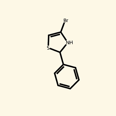 BrC1=CSC(c2ccccc2)N1